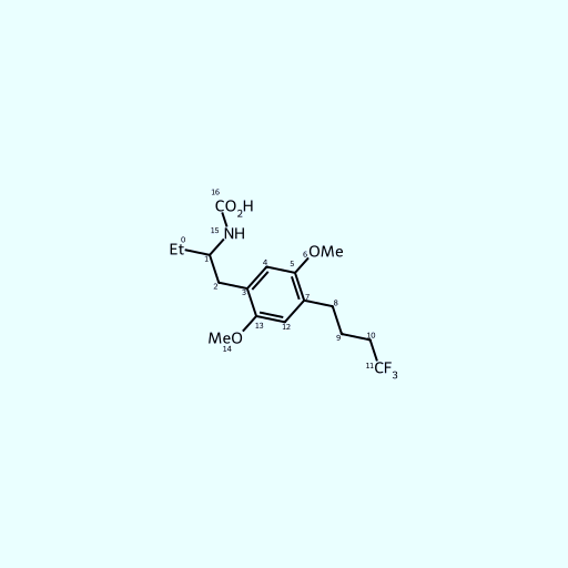 CCC(Cc1cc(OC)c(CCCC(F)(F)F)cc1OC)NC(=O)O